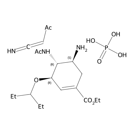 CC(=O)C=C=N.CCOC(=O)C1=C[C@@H](OC(CC)CC)[C@H](NC(C)=O)[C@@H](N)C1.O=P(O)(O)O